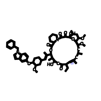 CCC1/C=C(\C)CC(C)CC(OC)C2OC(O)(C(=O)C(=O)N3CCCCC3C(=O)OC(C(C)=CC3CCC(Oc4ccc5c(ccn5Cc5ccccc5)c4)C(OC)C3)C(C)C(O)CC1=O)C(C)CC2OC